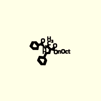 CCCCCCCCOC(=O)C(CCc1ccccc1)C(C)NC(=O)c1ccccc1